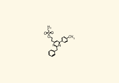 Cc1ccc(-c2cc(CCOS(C)(=O)=O)nc(Cc3ccccc3)n2)cc1